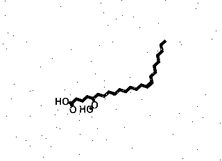 CCCCCCCC/C=C\CCCCCCCCCC(CCCC(=O)O)OO